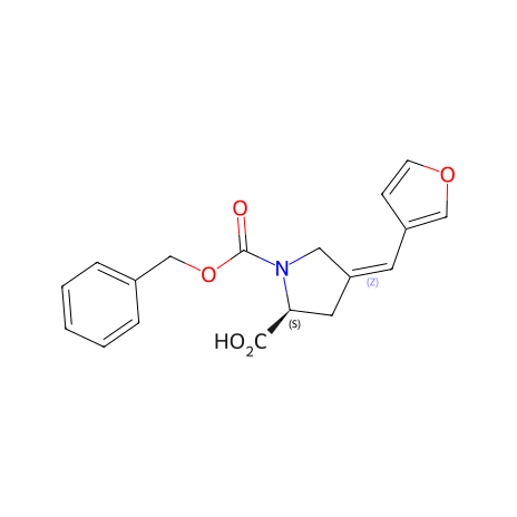 O=C(O)[C@@H]1C/C(=C/c2ccoc2)CN1C(=O)OCc1ccccc1